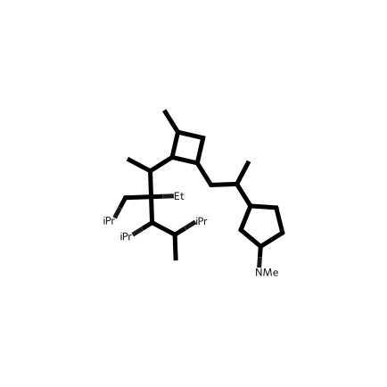 CCC(CC(C)C)(C(C)C1C(C)CC1CC(C)C1CCC(NC)C1)C(C(C)C)C(C)C(C)C